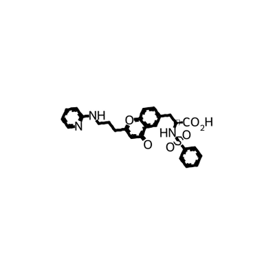 O=C(O)[C@H](Cc1ccc2oc(CCCNc3ccccn3)cc(=O)c2c1)NS(=O)(=O)c1ccccc1